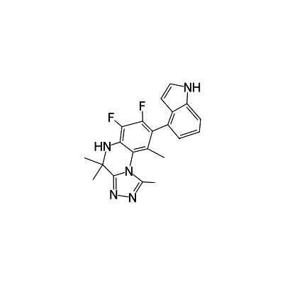 Cc1c(-c2cccc3[nH]ccc23)c(F)c(F)c2c1-n1c(C)nnc1C(C)(C)N2